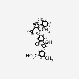 Cc1cc(C(=O)O)cc([C@H]2C[C@](O)(c3ccc(OCc4c(-c5c(C)cccc5Cl)noc4C4CC4)cc3Cl)C2)c1